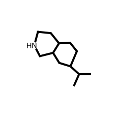 CC(C)C1CCC2CCNCC2C1